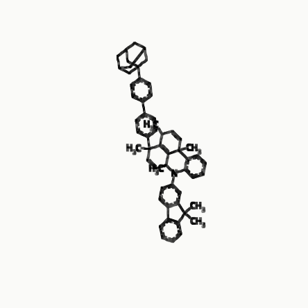 CC1C=CC2(C)C3=C1C(C)(c1ccc(-c4ccc(C56CC7CC(CC(C7)C5)C6)cc4)cc1)C=CC3(C)N(c1ccc3c(c1)C(C)(C)c1ccccc1-3)c1ccccc12